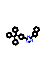 c1ccc(C(=C(c2ccccc2)c2ccc(-c3ncnc(-c4ccc5ccccc5c4)n3)cc2)c2ccccc2)cc1